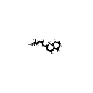 CCC1CC1CC1CC1CC1CC1CC1CC1CC1CC1CC1CC1CCC(=O)O